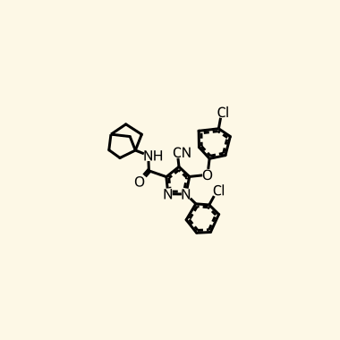 N#Cc1c(C(=O)NC23CCC(CC2)C3)nn(-c2ccccc2Cl)c1Oc1ccc(Cl)cc1